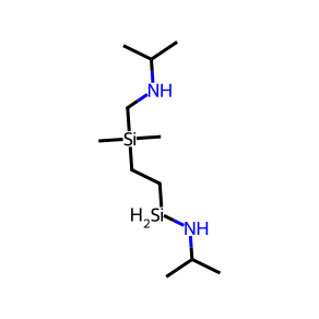 CC(C)NC[Si](C)(C)CC[SiH2]NC(C)C